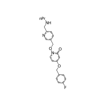 CCCNCc1ccc(COn2ccc(OCc3ccc(F)cc3)cc2=O)cn1